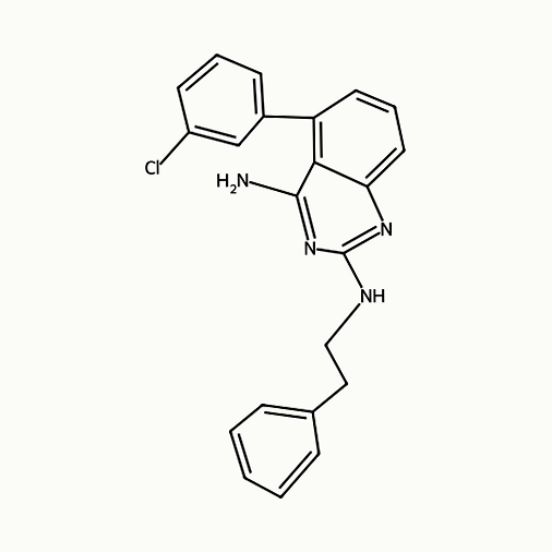 Nc1nc(NCCc2ccccc2)nc2cccc(-c3cccc(Cl)c3)c12